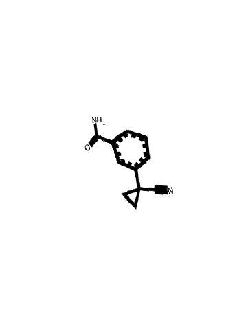 N#CC1(c2cccc(C(N)=O)c2)CC1